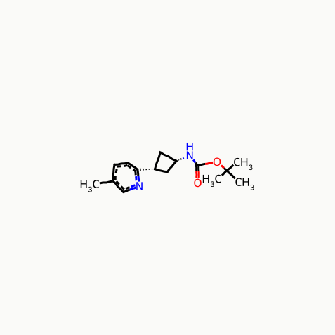 Cc1ccc([C@H]2C[C@@H](NC(=O)OC(C)(C)C)C2)nc1